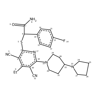 CCc1c(C#N)c(SC(C(N)=O)c2ccc(F)cc2)nc(N2CCC(N3CCCC3)CC2)c1C#N